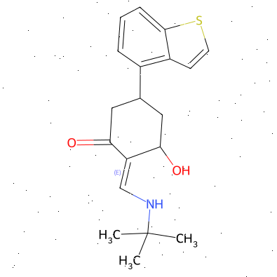 CC(C)(C)N/C=C1/C(=O)CC(c2cccc3sccc23)CC1O